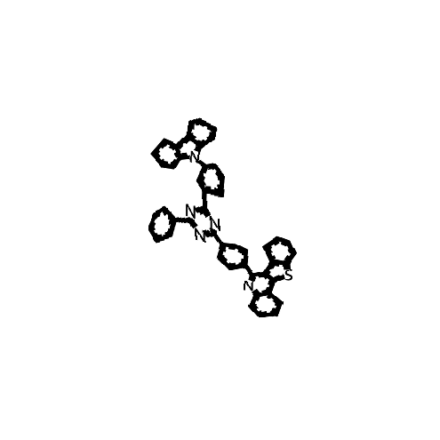 c1ccc(-c2nc(-c3ccc(-c4nc5ccccc5c5sc6ccccc6c45)cc3)nc(-c3cccc(-n4c5ccccc5c5ccccc54)c3)n2)cc1